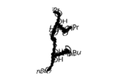 CCCCOC(=O)CCCCCCC(O)CN(CCCCSSCCN1CCN(CCOC(=O)CCCN(CC(O)CCCCC(=O)OCCC(C)C)CC(O)CCCCC(=O)OCCC(C)C)CC1)CC(O)CCCCCCC(=O)OCCCC